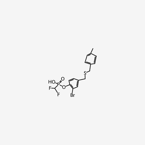 Cc1ccc(CSCc2ccc(OP(=O)(O)C(F)F)c(Br)c2)cc1